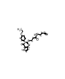 CCOc1ccc(-n2c(SCCC(=O)NCCC#N)nc3cc[nH]c3c2=O)cc1